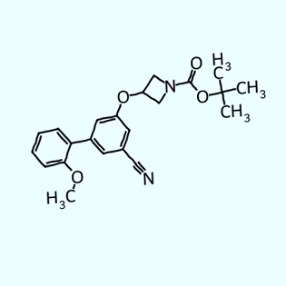 COc1ccccc1-c1cc(C#N)cc(OC2CN(C(=O)OC(C)(C)C)C2)c1